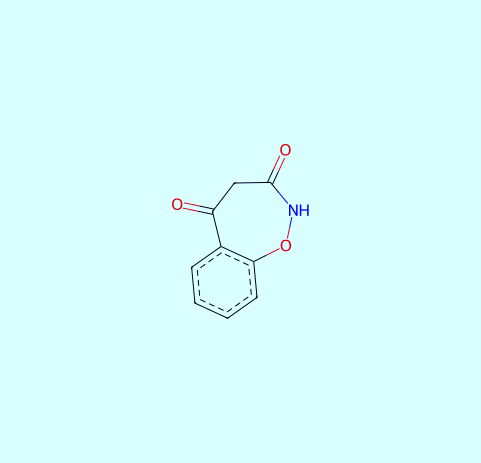 O=C1CC(=O)c2ccccc2ON1